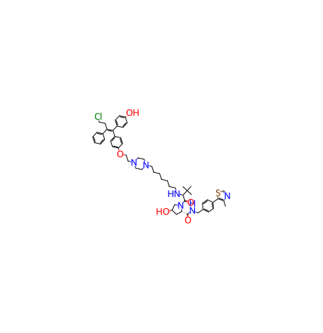 Cc1ncsc1-c1ccc(CNC(=O)[C@@H]2C[C@@H](O)CN2C(=O)[C@@H](NCCCCCCCN2CCN(CCOc3ccc(C(=C(CCCl)c4ccccc4)c4ccc(O)cc4)cc3)CC2)C(C)(C)C)cc1